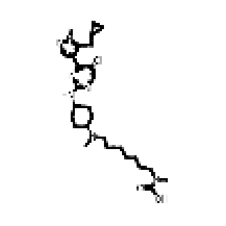 CN(CCCCCCCN(C)[C@H]1CC[C@H](Nc2ncc(Cl)c(-c3cnn(C)c3CC3CC3)n2)CC1)C(=O)O